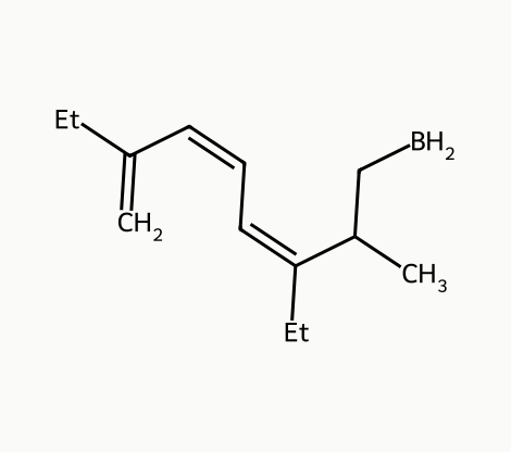 BCC(C)/C(=C\C=C/C(=C)CC)CC